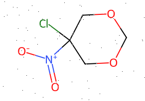 O=[N+]([O-])C1(Cl)COCOC1